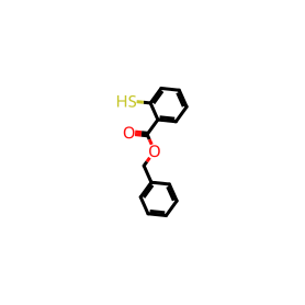 O=C(OCc1ccccc1)c1ccccc1S